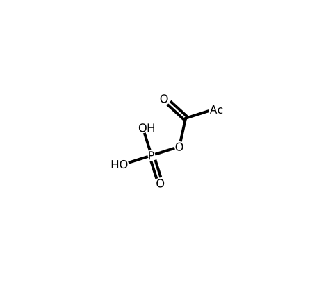 CC(=O)C(=O)OP(=O)(O)O